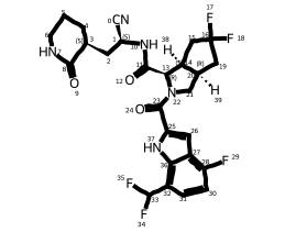 N#C[C@H](C[C@@H]1CCCNC1=O)NC(=O)[C@H]1[C@H]2CC(F)(F)C[C@H]2CN1C(=O)c1cc2c(F)ccc(C(F)F)c2[nH]1